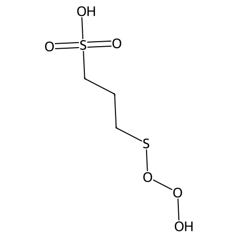 O=S(=O)(O)CCCSOOO